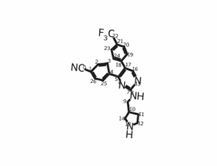 N#Cc1ccc(-c2nc(NCC3CCNC3)ncc2-c2ccc(C(F)(F)F)cc2)cc1